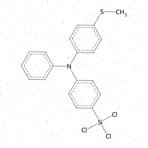 CSc1ccc(N(c2ccccc2)c2ccc([Si](Cl)(Cl)Cl)cc2)cc1